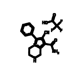 N#Cc1c(C(N)=O)c2n(c1-c1ccccc1)CCNC2.O=C(O)C(F)(F)F